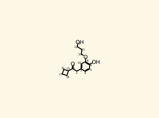 O=C(Cc1ccc(O)c(OCCCO)c1)C1CCC1